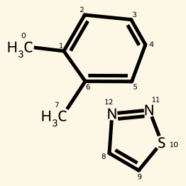 Cc1ccccc1C.c1csnn1